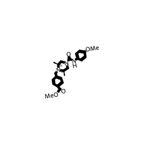 COC(=O)c1ccc(CN2[C@H](C)CN(C(=O)Nc3ccc(OC)cc3)C[C@@H]2C)cc1